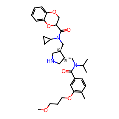 COCCCOc1cc(C(=O)N(C[C@@H]2CNC[C@H]2CN(C(=O)C2COc3ccccc3O2)C2CC2)C(C)C)ccc1C